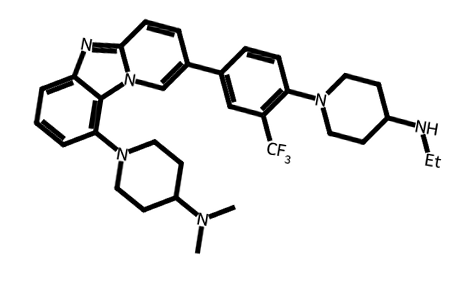 CCNC1CCN(c2ccc(-c3ccc4nc5cccc(N6CCC(N(C)C)CC6)c5n4c3)cc2C(F)(F)F)CC1